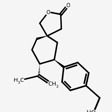 C=C(C)[C@@H]1CC[C@]2(COC(=O)C2)C[C@H]1c1ccc(CO)cc1